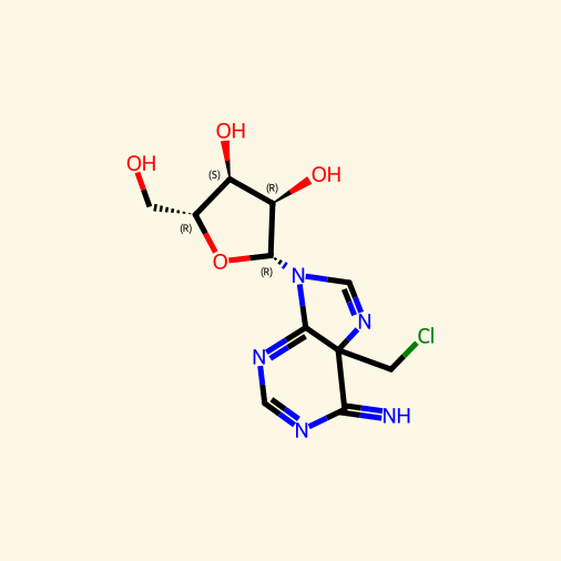 N=C1N=CN=C2N([C@@H]3O[C@H](CO)[C@@H](O)[C@H]3O)C=NC12CCl